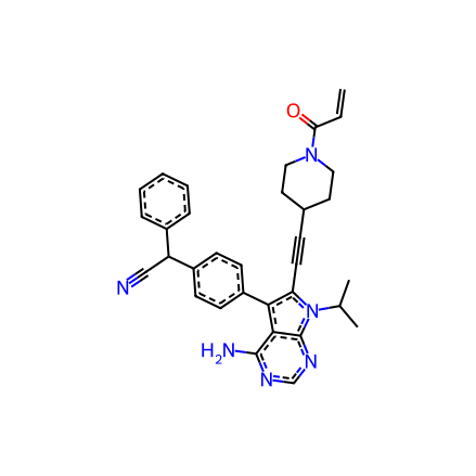 C=CC(=O)N1CCC(C#Cc2c(-c3ccc(C(C#N)c4ccccc4)cc3)c3c(N)ncnc3n2C(C)C)CC1